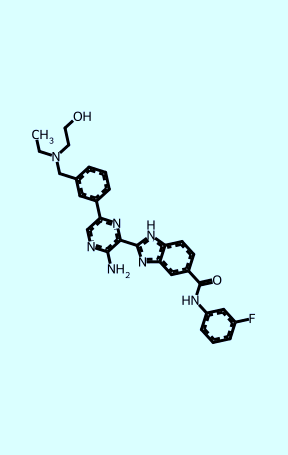 CCN(CCO)Cc1cccc(-c2cnc(N)c(-c3nc4cc(C(=O)Nc5cccc(F)c5)ccc4[nH]3)n2)c1